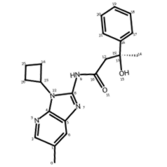 Cc1cnc2c(c1)nc(NC(=O)C[C@](C)(O)c1ccccc1)n2C1CCC1